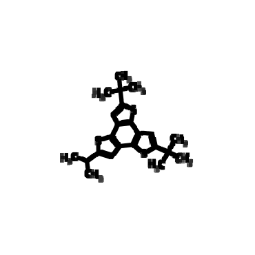 CC(C)c1cc2c(s1)c1cc(C(C)(C)C)sc1c1cc(C(C)(C)C)sc21